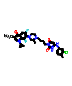 Cc1ccc(Nc2cc(=O)n(CCCCN3CCN(c4c(F)cc5c(=O)c(C(=O)O)cn(C6CC6)c5c4F)CC3C)c(=O)[nH]2)cc1Cl